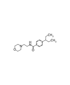 CCC(CC)c1ccc(C(=O)NCCN2CCOCC2)cc1